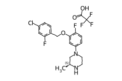 C[C@H]1CN(c2ccc(F)c(OCc3ccc(Cl)cc3F)c2)CCN1.O=C(O)C(F)(F)F